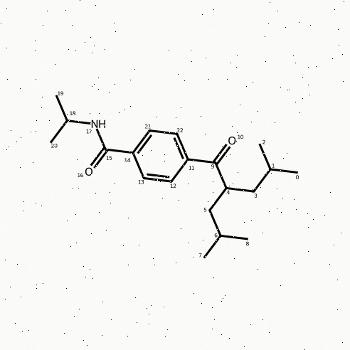 CC(C)CC(CC(C)C)C(=O)c1ccc(C(=O)NC(C)C)cc1